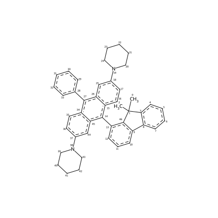 CC1(C)c2ccccc2-c2cccc(-c3c4ccc(N5CCCCC5)cc4c(-c4ccccc4)c4ccc(N5CCCCC5)cc34)c21